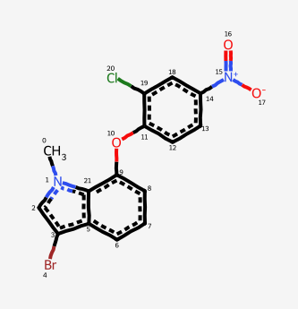 Cn1cc(Br)c2cccc(Oc3ccc([N+](=O)[O-])cc3Cl)c21